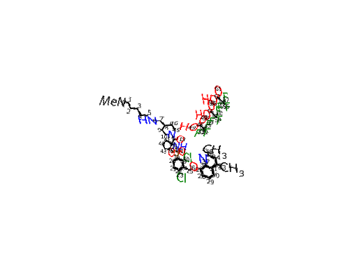 CNCCCCCNCC1CCN(C(=O)C2(NS(=O)(=O)c3ccc(Cl)c(COc4cccc5c(C)cc(C)nc45)c3Cl)CCCC2)CC1.O=C(O)C(F)(F)F.O=C(O)C(F)(F)F.O=C(O)C(F)(F)F